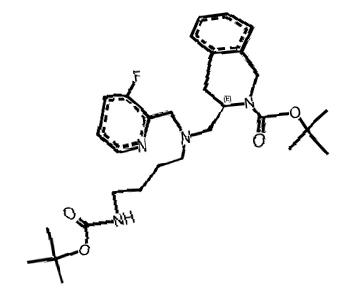 CC(C)(C)OC(=O)NCCCCN(Cc1ncccc1F)C[C@H]1Cc2ccccc2CN1C(=O)OC(C)(C)C